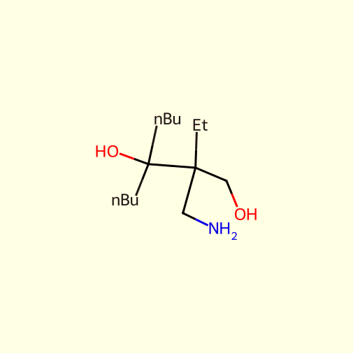 CCCCC(O)(CCCC)C(CC)(CN)CO